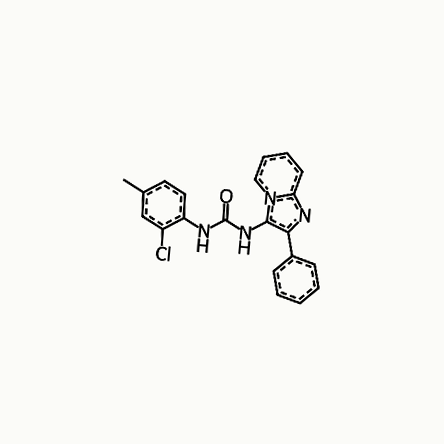 Cc1ccc(NC(=O)Nc2c(-c3ccccc3)nc3ccccn23)c(Cl)c1